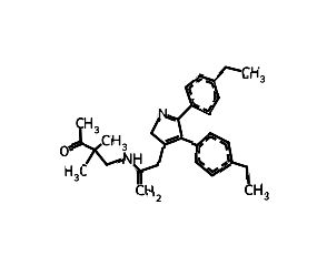 C=C(CC1=C(c2ccc(CC)cc2)C(c2ccc(CC)cc2)=NC1)NCC(C)(C)C(C)=O